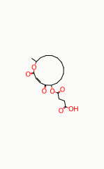 CC1CCCCCCCCCC(OC(=O)CCC(=O)O)C(=O)C=CC(=O)O1